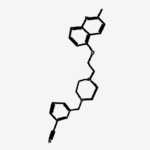 Cc1ccc2c(OCCN3CCN(Cc4cccc(C#N)c4)CC3)cccc2n1